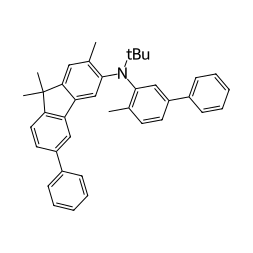 Cc1ccc(-c2ccccc2)cc1N(c1cc2c(cc1C)C(C)(C)c1ccc(-c3ccccc3)cc1-2)C(C)(C)C